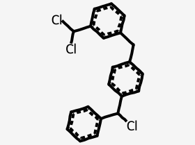 ClC(Cl)c1cccc(Cc2ccc(C(Cl)c3ccccc3)cc2)c1